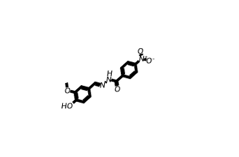 COc1cc(C=NNC(=O)c2ccc([N+](=O)[O-])cc2)ccc1O